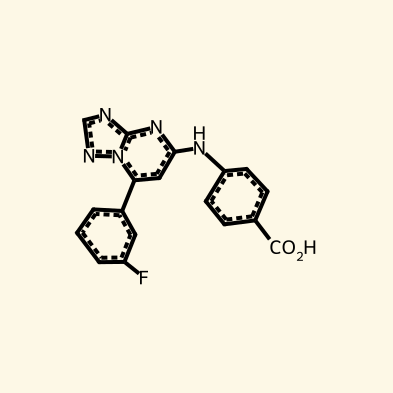 O=C(O)c1ccc(Nc2cc(-c3cccc(F)c3)n3ncnc3n2)cc1